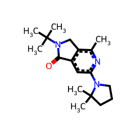 Cc1nc(N2CCCC2(C)C)cc2c1CN(C(C)(C)C)C2=O